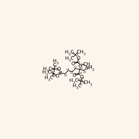 CN(C(=O)OC(C)(C)C)C(CN)(CCCCB1OC(C)(C)C(C)(C)O1)C(=O)OC(C)(C)C